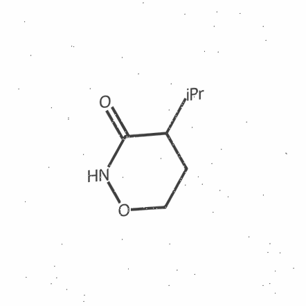 CC(C)C1CCONC1=O